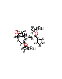 CC1C(=O)[C@H]2CC[C@@H](O[Si](C)(C)C(C)(C)C)[C@H](C#C[C@@H](O[Si](C)(C)C(C)(C)C)C3CCCC3)[C@@H]12